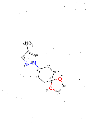 O=[N+]([O-])c1cnn(C2CCC3(CC2)OCCO3)c1